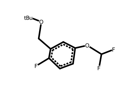 CC(C)(C)OCc1cc(OC(F)F)ccc1F